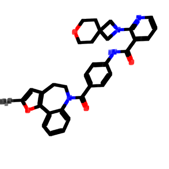 O=C(O)c1cc2c(o1)-c1ccccc1N(C(=O)c1ccc(NC(=O)c3cccnc3N3CC4(CCOCC4)C3)cc1)CC2